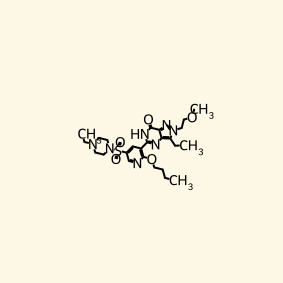 CCCCOc1ncc(S(=O)(=O)N2CCN(CC)CC2)cc1-c1nc2c(CC)n(CCOC)nc2c(=O)[nH]1